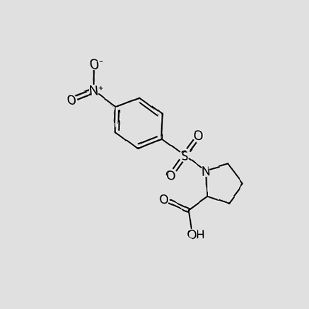 O=C(O)C1CCCN1S(=O)(=O)c1ccc([N+](=O)[O-])cc1